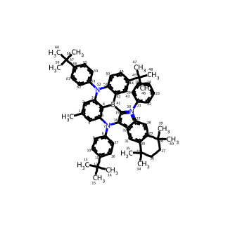 Cc1cc2c3c(c1)N(c1ccc(C(C)(C)C)cc1)c1c(n(-c4ccccc4)c4cc5c(cc14)C(C)(C)CCC5(C)C)B3c1cc(C(C)(C)C)ccc1N2c1ccc(C(C)(C)C)cc1